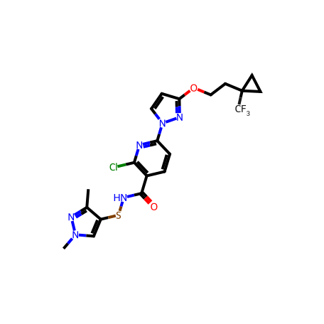 Cc1nn(C)cc1SNC(=O)c1ccc(-n2ccc(OCCC3(C(F)(F)F)CC3)n2)nc1Cl